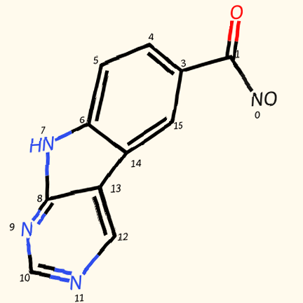 O=NC(=O)c1ccc2[nH]c3ncncc3c2c1